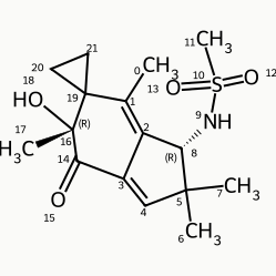 CC1=C2C(=CC(C)(C)[C@H]2NS(C)(=O)=O)C(=O)[C@](C)(O)C12CC2